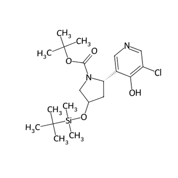 CC(C)(C)OC(=O)N1CC(O[Si](C)(C)C(C)(C)C)C[C@H]1c1cncc(Cl)c1O